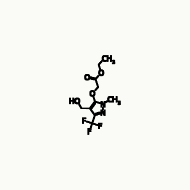 CCOC(=O)COc1c(CO)c(C(F)(F)F)nn1C